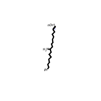 CCCCCCCC/C=C/CCCCCCCC(N)CCCCCCCC(C)C